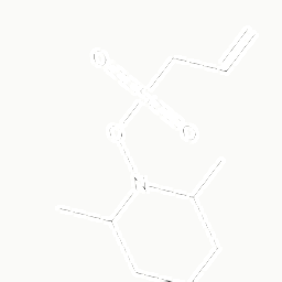 C=CCS(=O)(=O)ON1C(C)CCCC1C